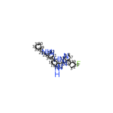 Fc1cccc(-c2ccnc3[nH]c(-c4n[nH]c5ccc(-c6cncc(CNCc7ccccc7)c6)cc45)nc23)c1